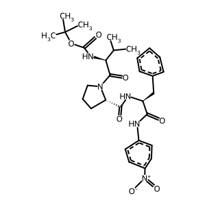 CC(C)[C@H](NC(=O)OC(C)(C)C)C(=O)N1CCC[C@H]1C(=O)N[C@@H](Cc1ccccc1)C(=O)Nc1ccc([N+](=O)[O-])cc1